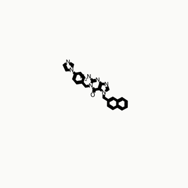 Nc1nc2ncn(Cc3ccc4ccccc4c3)c2c(=O)n1Cc1ccc(-n2ccnc2)cc1